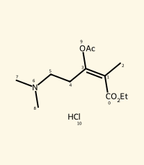 CCOC(=O)C(C)=C(CCN(C)C)OC(C)=O.Cl